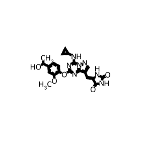 COc1cc(C(C)O)ccc1Oc1nc(NC2CC2)n2ncc(/C=C3\NC(=O)NC3=O)c2n1